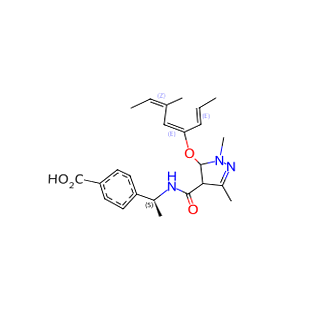 C\C=C(C)/C=C(\C=C\C)OC1C(C(=O)N[C@@H](C)c2ccc(C(=O)O)cc2)C(C)=NN1C